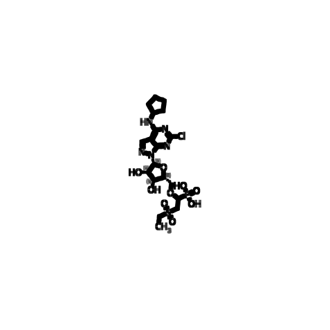 CCS(=O)(=O)CC(OC[C@H]1O[C@@H](n2ncc3c(NC4CCCC4)nc(Cl)nc32)[C@H](O)[C@@H]1O)P(=O)(O)O